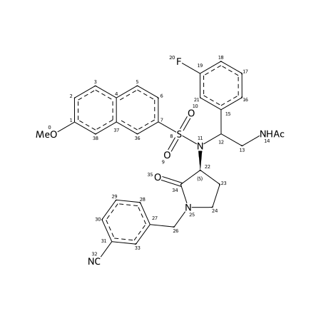 COc1ccc2ccc(S(=O)(=O)N(C(CNC(C)=O)c3cccc(F)c3)[C@H]3CCN(Cc4cccc(C#N)c4)C3=O)cc2c1